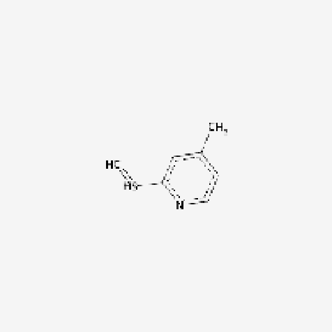 [CH]=[SH]c1cc(C)ccn1